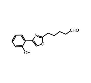 O=CCCCCc1nc(-c2ccccc2O)co1